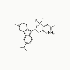 C=C(C)/C=C(\C(=C/N)CCn1c2c(c3cc(C(C)C)ccc31)CN(C)CC2)C(F)(F)F